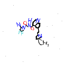 Cc1ccc(C=Cc2ccc3nccc(C(=O)NCC(=O)N4CC(F)(F)CC4C#N)c3c2)nc1